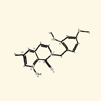 COc1ccc(Cn2ccc3cc(C)c[n+](O)c3c2=O)c(OC)c1